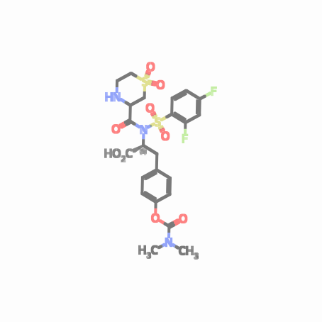 CN(C)C(=O)Oc1ccc(C[C@@H](C(=O)O)N(C(=O)C2CS(=O)(=O)CCN2)S(=O)(=O)c2ccc(F)cc2F)cc1